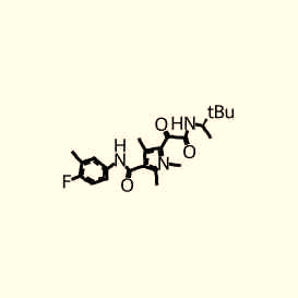 Cc1cc(NC(=O)c2c(C)c(C(=O)C(=O)N[C@H](C)C(C)(C)C)n(C)c2C)ccc1F